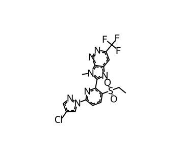 CCS(=O)(=O)c1ccc(-n2cc(Cl)cn2)nc1-c1nc2cc(C(F)(F)F)nnc2n1C